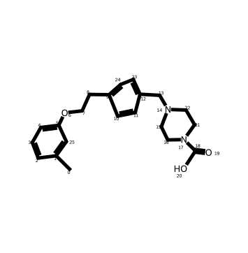 Cc1cccc(OCCc2ccc(CN3CCN(C(=O)O)CC3)cc2)c1